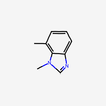 Cc1cccc2n[c]n(C)c12